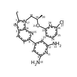 Cc1nc2ccc(-c3cc(N)nc(N)c3)nc2n1C[C@@H](C)Oc1cccc(Cl)n1